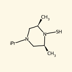 CC(C)N1C[C@@H](C)N(S)[C@@H](C)C1